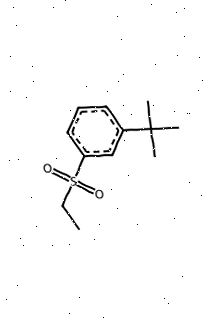 CCS(=O)(=O)c1cccc(C(C)(C)C)c1